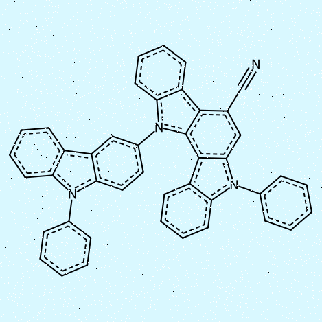 N#Cc1cc2c(c3ccccc3n2-c2ccccc2)c2c1c1ccccc1n2-c1ccc2c(c1)c1ccccc1n2-c1ccccc1